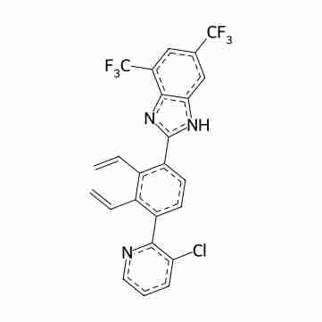 C=Cc1c(-c2nc3c(C(F)(F)F)cc(C(F)(F)F)cc3[nH]2)ccc(-c2ncccc2Cl)c1C=C